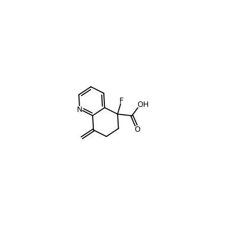 C=C1CCC(F)(C(=O)O)c2cccnc21